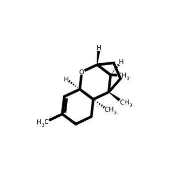 CC1=C[C@H]2O[C@@H]3CC[C@@](C)([C@@H]3C)[C@@]2(C)CC1